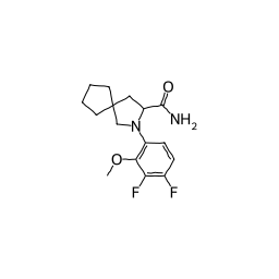 COc1c(N2CC3(CCCC3)CC2C(N)=O)ccc(F)c1F